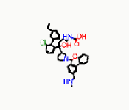 CCc1cccc(-c2c(Cl)cccc2C(O)(CCCNC(=O)O)C2CCCN(C(=O)c3ccc(CNC)cc3-c3ccccc3)C2)c1